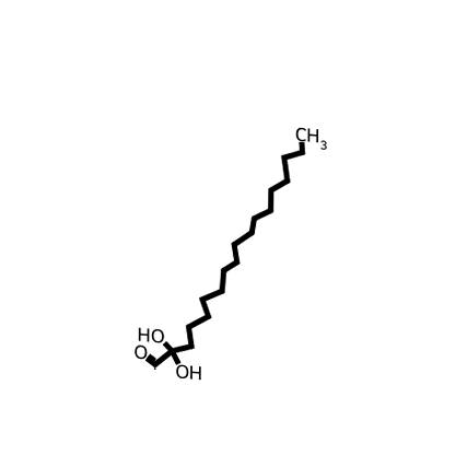 CCCCCCCCCCCCCCCCC(O)(O)[C]=O